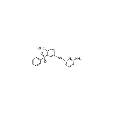 Nc1cccc(C#Cc2ccc(C=O)c(S(=O)(=O)c3ccccc3)c2)n1